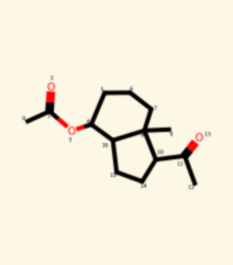 CC(=O)OC1CCCC2(C)C(C(C)=O)CCC12